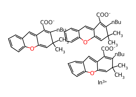 CCCCC1=C(C(=O)[O-])C2=Cc3ccccc3OC2=CC1(C)C.CCCCC1=C(C(=O)[O-])C2=Cc3ccccc3OC2=CC1(C)C.CCCCC1=C(C(=O)[O-])C2=Cc3ccccc3OC2=CC1(C)C.[In+3]